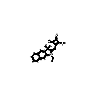 CCN1/C(=C/c2c(O)c(=O)c2=O)C(C)(C)c2cc3ccccc3cc21